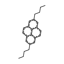 CCCCc1cc2ccc3cc(CCCC)cc4ccc(c1)c2c34